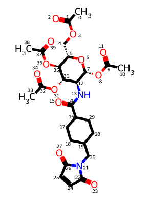 CC(=O)OC[C@@H]1O[C@H](OC(C)=O)[C@@H](NC(=O)C2CCC(CN3C(=O)C=CC3=O)CC2)[C@H](OC(C)=O)[C@H]1OC(C)=O